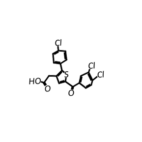 O=C(O)Cc1cc(C(=O)c2ccc(Cl)c(Cl)c2)sc1-c1ccc(Cl)cc1